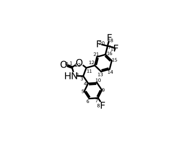 O=C1NC(c2ccc(F)cc2)C(c2cccc(C(F)(F)F)c2)O1